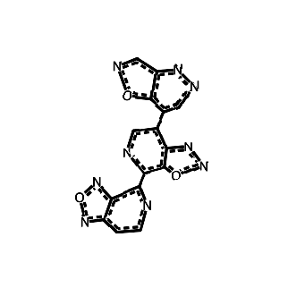 c1cc2nonc2c(-c2ncc(-c3cnnc4cnoc34)c3nnoc23)n1